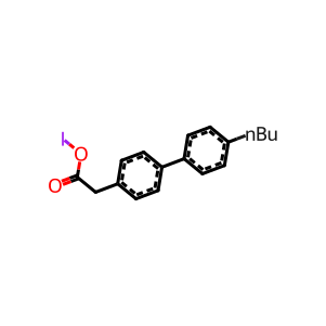 CCCCc1ccc(-c2ccc(CC(=O)OI)cc2)cc1